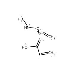 C=C.C=CC(=O)O.CNC